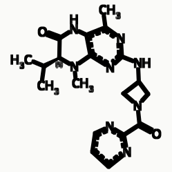 Cc1nc(NC2CN(C(=O)c3ncccn3)C2)nc2c1NC(=O)[C@H](C(C)C)N2C